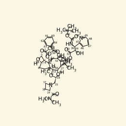 CC(=O)O[C@@]12CO[C@@H]1CC[C@@]1(C)[C@@H]3O[C@H](CN4CC[C@H]4C(=O)N(C)C)O[C@@H]3C3=C(C)[C@@H](OC(=O)[C@H](O)[C@@H](NC(=O)OC(C)(C)C)c4ccccn4)C[C@@](O)([C@@H](OC(=O)c4ccccc4)[C@@H]12)C3(C)C